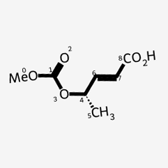 COC(=O)O[C@@H](C)C=CC(=O)O